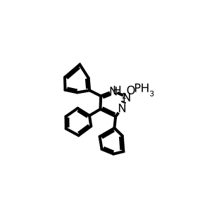 O.P.c1ccc(-c2nnnc(-c3ccccc3)c2-c2ccccc2)cc1